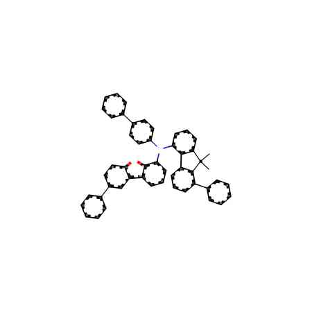 CC1(C)c2cccc(N(c3ccc(-c4ccccc4)cc3)c3cccc4c3oc3ccc(-c5ccccc5)cc34)c2-c2cccc(-c3ccccc3)c21